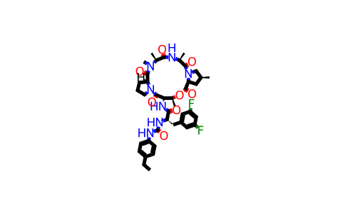 CCc1ccc(NC(=O)N[C@@H](Cc2cc(F)cc(F)c2)C(=O)N[C@@H]2C(=O)N3CCC[C@H]3C(=O)N(C)[C@@H](C)C(=O)N[C@@H](C)C(=O)N3C[C@@H](C)CC3C(=O)O[C@H]2C)cc1